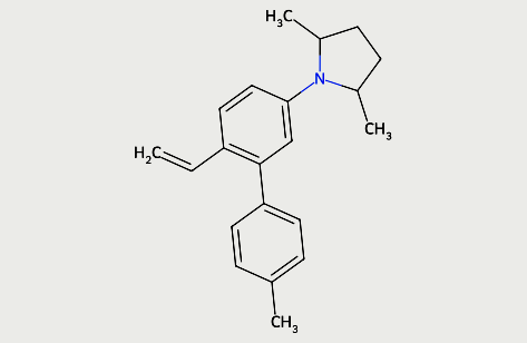 C=Cc1ccc(N2C(C)CCC2C)cc1-c1ccc(C)cc1